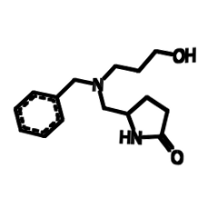 O=C1CCC(CN(CCCO)Cc2ccccc2)N1